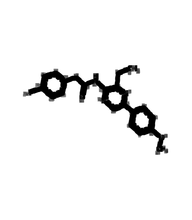 CCc1nc(-c2ccc(OC)cc2)cnc1NC(=O)Cc1ccc(I)cc1